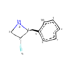 F[C@@H]1CN[C@H]1c1ccccc1